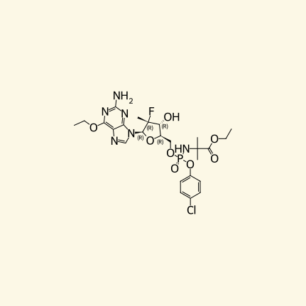 CCOC(=O)C(C)(C)NP(=O)(OC[C@H]1O[C@@H](n2cnc3c(OCC)nc(N)nc32)[C@](C)(F)[C@@H]1O)Oc1ccc(Cl)cc1